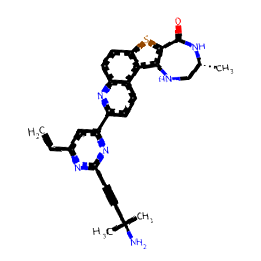 C=Cc1cc(-c2ccc3c(ccc4sc5c(c43)NC[C@@H](C)NC5=O)n2)nc(C#CC(C)(C)N)n1